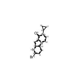 O=c1c2cc3nc(Br)ccc3n2ccn1C1CC1